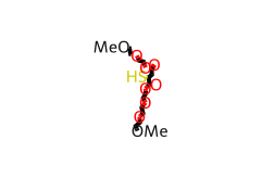 COCCOCCOCCOC(=O)C(S)CC(=O)OCCOCCOC